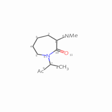 CNC1CCCCN(C(C)C(C)=O)C1=O